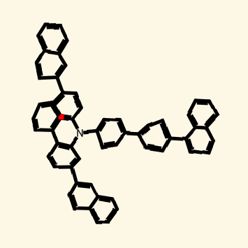 c1ccc(-c2ccc(-c3ccc4ccccc4c3)cc2N(c2ccc(-c3ccc(-c4cccc5ccccc45)cc3)cc2)c2ccc(-c3ccc4ccccc4c3)cc2)cc1